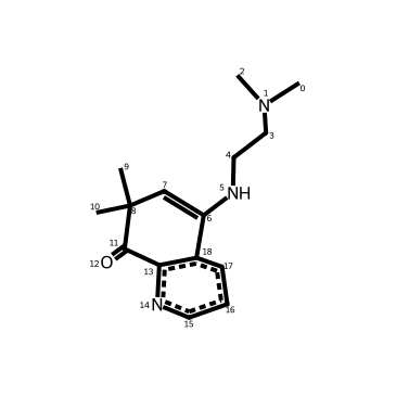 CN(C)CCNC1=CC(C)(C)C(=O)c2ncccc21